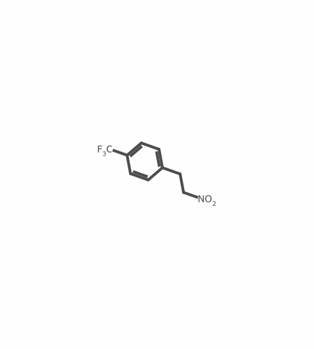 O=[N+]([O-])CCc1ccc(C(F)(F)F)cc1